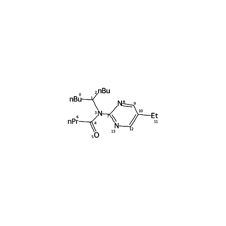 CCCCC(CCCC)N(C(=O)CCC)c1ncc(CC)cn1